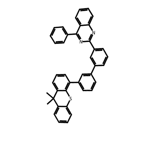 CC1(C)c2ccccc2Sc2c(-c3cccc(-c4cccc(-c5nc(-c6ccccc6)c6ccccc6n5)c4)c3)cccc21